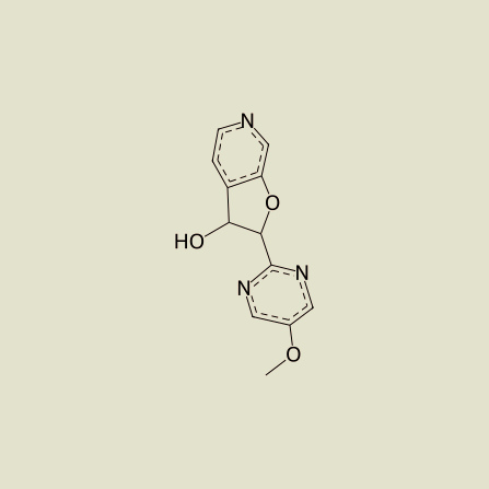 COc1cnc(C2Oc3cnccc3C2O)nc1